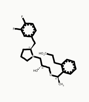 C[C@@H](OC[C@H](O)CN1CCC[C@H]1Cc1ccc(F)c(F)c1)c1ccccc1CCC(=O)O